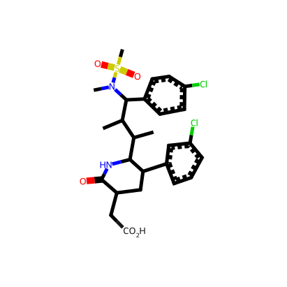 CC(C(C)C(c1ccc(Cl)cc1)N(C)S(C)(=O)=O)C1NC(=O)C(CC(=O)O)CC1c1cccc(Cl)c1